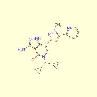 Cn1nc(-c2cn(C(C3CC3)C3CC3)c(=O)c3c(N)n[nH]c23)cc1-c1ccccn1